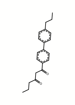 CCCC(=O)CC(=O)c1ccc(-c2ccc(CCC)cc2)cc1